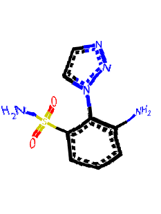 Nc1cccc(S(N)(=O)=O)c1-n1ccnn1